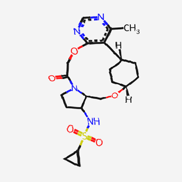 Cc1ncnc2c1[C@H]1CC[C@H](CC1)OCC1C(NS(=O)(=O)C3CC3)CCN1C(=O)CO2